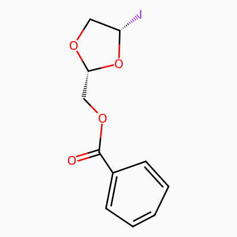 O=C(OC[C@@H]1OC[C@H](I)O1)c1ccccc1